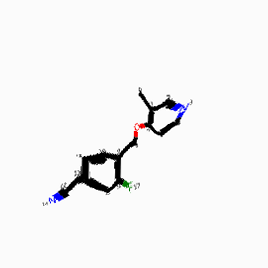 Cc1cnccc1OCc1ccc(C#N)cc1F